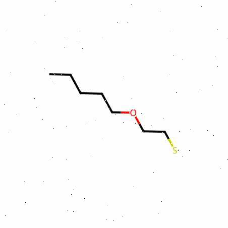 CCCCCOCC[S]